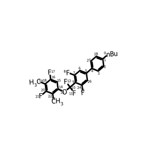 CCCCc1ccc(-c2cc(F)c(C(F)(F)Oc3cc(F)c(C)c(F)c3C)c(F)c2)cc1